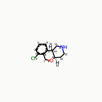 Clc1cccc2c1CO[C@@H]1CCNC[C@@H]21